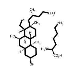 C[C@H](CCC(=O)O)[C@H]1CC[C@H]2[C@@H]3[C@H](O)C[C@@H]4C[C@H](O)CC[C@]4(C)[C@H]3CC[C@]12C.NCCCC[C@H](N)C(=O)O